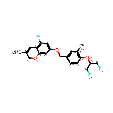 O=CC1=Cc2c(F)cc(OCc3ccc(OC(CF)CF)c(C(F)(F)F)c3)cc2OC1